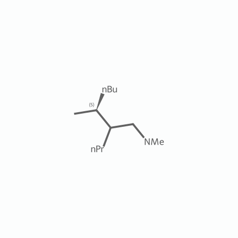 CCCC[C@H](C)C(CCC)CNC